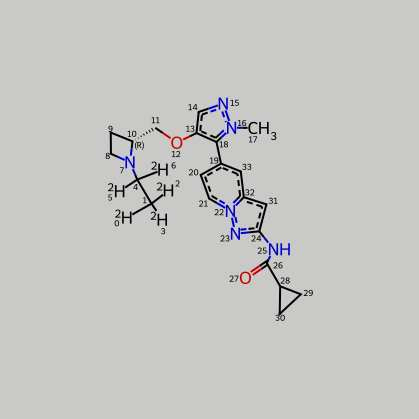 [2H]C([2H])([2H])C([2H])([2H])N1CC[C@@H]1COc1cnn(C)c1-c1ccn2nc(NC(=O)C3CC3)cc2c1